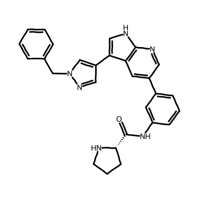 O=C(Nc1cccc(-c2cnc3[nH]cc(-c4cnn(Cc5ccccc5)c4)c3c2)c1)[C@@H]1CCCN1